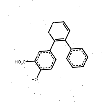 O=C(O)c1cc(C2=C(c3ccccc3)C=CCC2)ccc1O